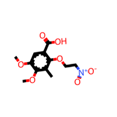 COc1cc(C(=O)O)c(OCC[N+](=O)[O-])c(C)c1OC